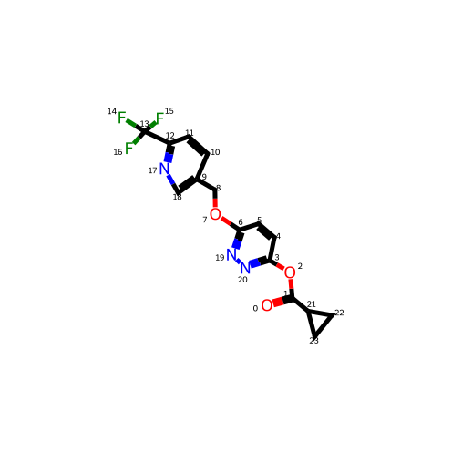 O=C(Oc1ccc(OCc2ccc(C(F)(F)F)nc2)nn1)C1CC1